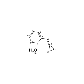 C(=C1CC1)c1ccccc1.O